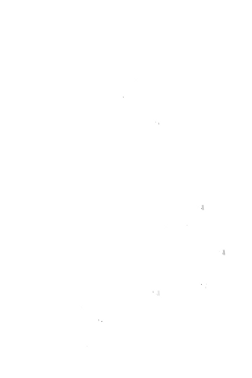 CN(C)CCNC(=O)c1nc[nH]c1C(=O)Nc1ccc(NC(=O)c2ccc(F)cc2Cl)c(F)c1